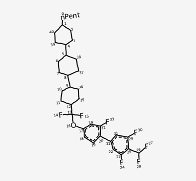 CCCCCC1CCC(C2CCC(C3CCC(C(F)(F)Oc4ccc(-c5cc(F)c(C(F)F)c(F)c5)c(F)c4)CC3)CC2)CC1